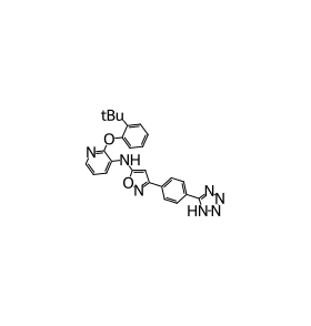 CC(C)(C)c1ccccc1Oc1ncccc1Nc1cc(-c2ccc(-c3nnn[nH]3)cc2)no1